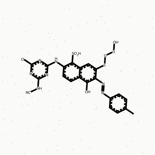 Cc1ccc(N=Nc2c(SOOO)cc3c(S(=O)(=O)O)c(Nc4nc(Cl)nc(NC#N)n4)ccc3c2O)cc1